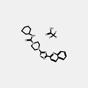 O=C(NC1CCCCC1)N1CCN(c2nc(-c3ccc4ccccc4n3)ns2)CC1.O=C(O)C(F)(F)F